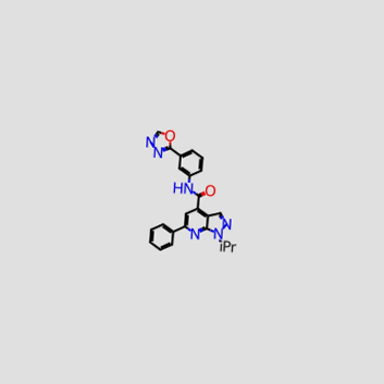 CC(C)n1ncc2c(C(=O)Nc3cccc(-c4nnco4)c3)cc(-c3ccccc3)nc21